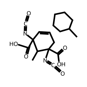 CC1C(N=C=O)(C(=O)O)C=CCC1(N=C=O)C(=O)O.CC1CCCCC1